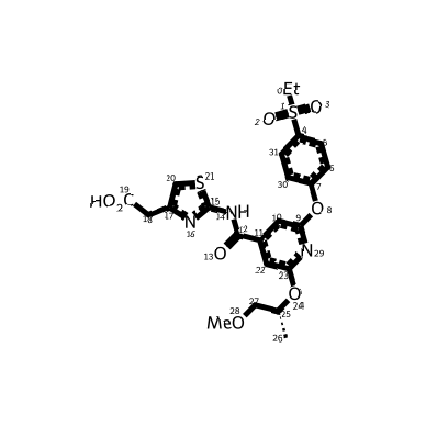 CCS(=O)(=O)c1ccc(Oc2cc(C(=O)Nc3nc(CC(=O)O)cs3)cc(O[C@H](C)COC)n2)cc1